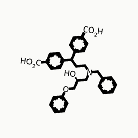 O=C(O)c1ccc(C(CCN(Cc2ccccc2)C[C@H](O)COc2ccccc2)c2ccc(C(=O)O)cc2)cc1